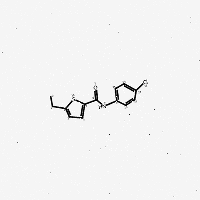 CCc1ccc(C(=O)Nc2ccc(Cl)cc2)s1